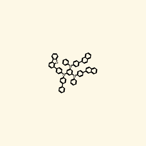 c1ccc(-c2ccc(N(c3ccc(-c4cccc5c4sc4ccccc45)cc3)c3cc(N(c4ccccc4)c4ccc(-c5ccc6ccccc6c5)cc4)cc(N(c4ccccc4)c4ccc(-c5ccc6ccccc6c5)cc4)c3)cc2)cc1